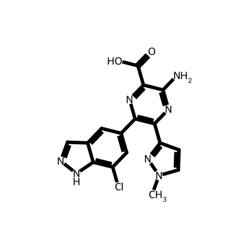 Cn1ccc(-c2nc(N)c(C(=O)O)nc2-c2cc(Cl)c3[nH]ncc3c2)n1